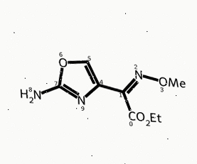 CCOC(=O)C(=NOC)c1coc(N)n1